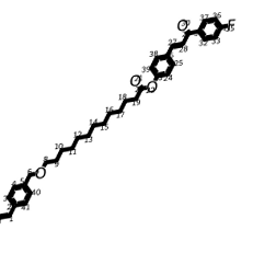 C=Cc1ccc(COCCCCCCCCCCCCC(=O)Oc2ccc(C=CC(=O)c3ccc(F)cc3)cc2)cc1